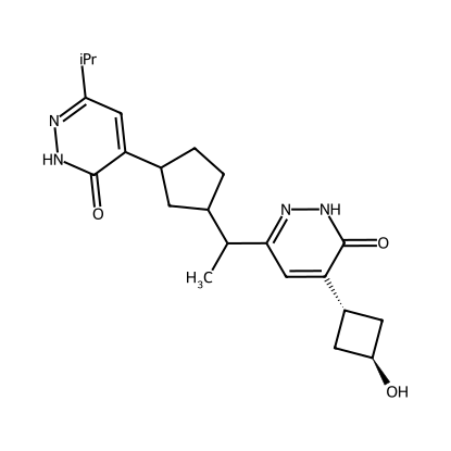 CC(C)c1cc(C2CCC(C(C)c3cc([C@H]4C[C@H](O)C4)c(=O)[nH]n3)C2)c(=O)[nH]n1